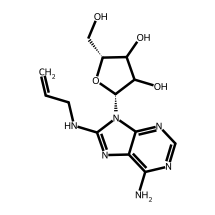 C=CCNc1nc2c(N)ncnc2n1[C@@H]1O[C@H](CO)C(O)C1O